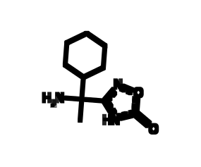 CC(N)(c1noc(=O)[nH]1)C1CCCCC1